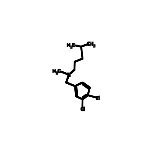 CC(C)CCCN(C)Cc1ccc(Cl)c(Cl)c1